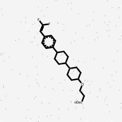 CCCCCCCCCCCCOC1CCC(C2CCC(c3ccc(C=C(F)F)cc3)CC2)CC1